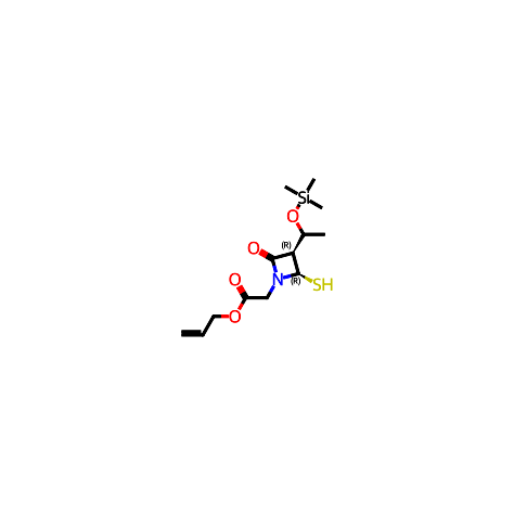 C=CCOC(=O)CN1C(=O)[C@@H](C(C)O[Si](C)(C)C)[C@H]1S